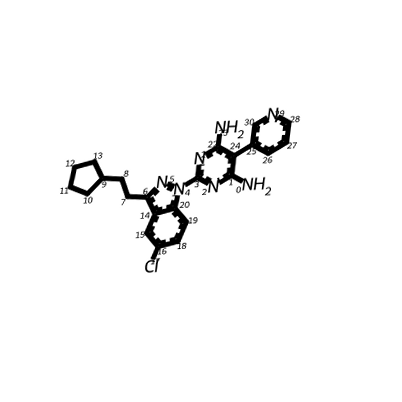 Nc1nc(-n2nc(CCC3CCCC3)c3cc(Cl)ccc32)nc(N)c1-c1cccnc1